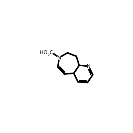 O=C(O)N1C=CC2C=CC=NC2CC1